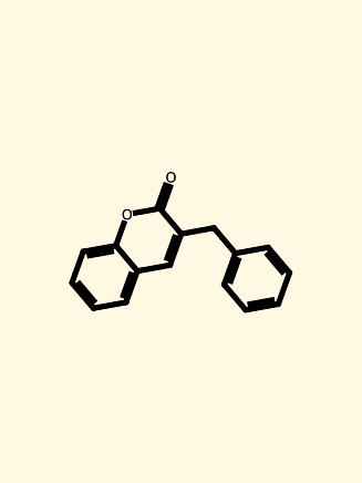 O=c1oc2ccccc2cc1Cc1ccccc1